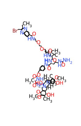 CCc1nc2cc(C(=O)NCCOCCOCCC(=O)N[C@H](C(=O)N[C@@H](CCCNC(N)=O)C(=O)Nc3ccc(COC(=O)N[C@@H](C)C(=O)NC[C@H]4C5=C(C[C@H]6[C@@H]7c8cc(O)c(OC)c(C)c8C[C@@H]([C@H](O)N46)N7C)C(O)C(C)=C(OC)C5=O)cc3)C(C)C)ccc2nc1CBr